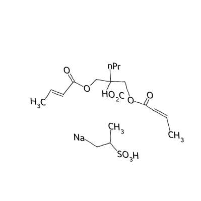 CC([CH2][Na])S(=O)(=O)O.CC=CC(=O)OCC(CCC)(COC(=O)C=CC)C(=O)O